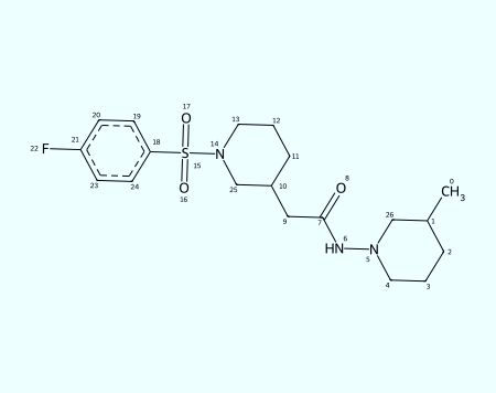 CC1CCCN(NC(=O)CC2CCCN(S(=O)(=O)c3ccc(F)cc3)C2)C1